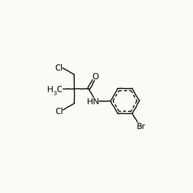 CC(CCl)(CCl)C(=O)Nc1cccc(Br)c1